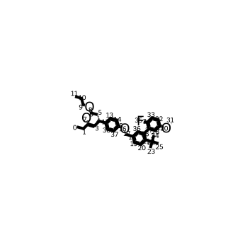 CC/C=C/[C@H](CC(=O)OCCC)c1ccc(OCc2ccc(C(C)(C)C)c(-c3cc(OC)ccc3F)c2)cc1